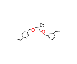 C=Cc1ccc(COCC(CC)COCc2cccc(C=C)c2)cc1